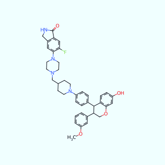 COc1cccc(C2COc3cc(O)ccc3C2c2ccc(N3CCC(CN4CCN(c5cc6c(cc5F)C(=O)NC6)CC4)CC3)cc2)c1